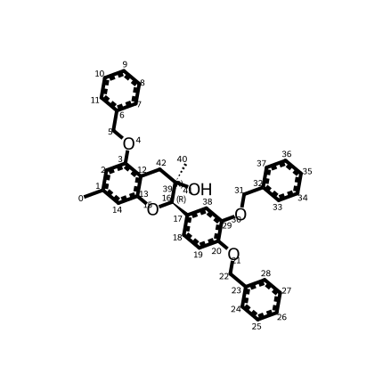 Cc1cc(OCc2ccccc2)c2c(c1)O[C@H](c1ccc(OCc3ccccc3)c(OCc3ccccc3)c1)[C@](C)(O)C2